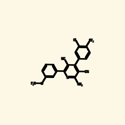 N#Cc1c(N)nc(-c2cccc(OC(F)(F)F)c2)c(C#N)c1-c1ccc(C(F)(F)F)c(Cl)c1